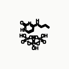 CCCNc1cc[nH]c(=O)n1.O=P(O)(O)OP(=O)(O)OP(=O)(O)O